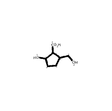 O=C(O)C1C(O)CCC1CO